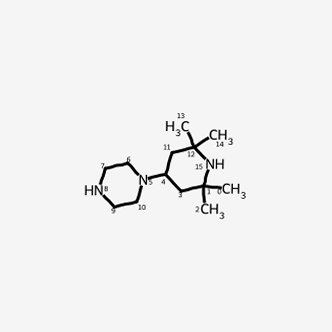 CC1(C)CC(N2CCNCC2)CC(C)(C)N1